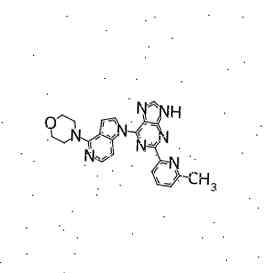 Cc1cccc(-c2nc(-n3ccc4c(N5CCOCC5)nccc43)c3nc[nH]c3n2)n1